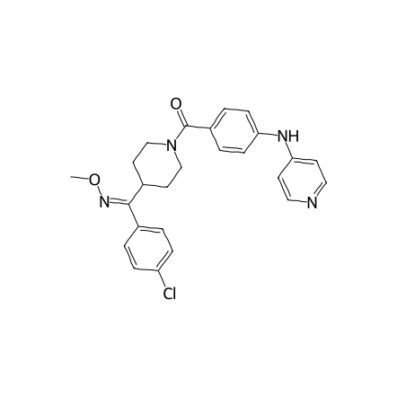 CON=C(c1ccc(Cl)cc1)C1CCN(C(=O)c2ccc(Nc3ccncc3)cc2)CC1